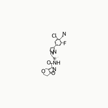 C[C@@H](Cn1ccc(-c2cc(F)c(C#N)c(Cl)c2)n1)NC(=O)c1noc2c1COCC2